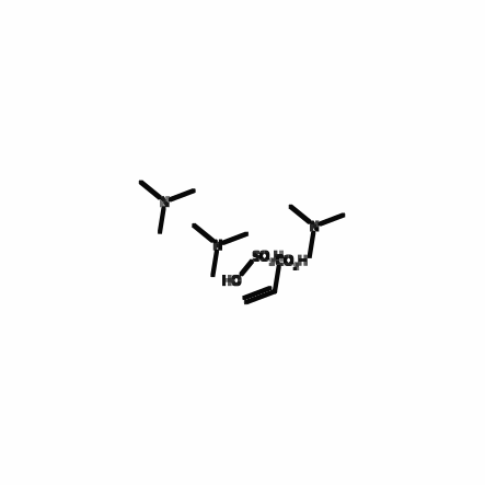 C=CC(=O)O.CN(C)C.CN(C)C.CN(C)C.O=S(=O)(O)O